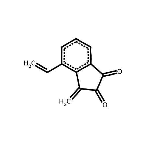 C=Cc1cccc2c1C(=C)C(=O)C2=O